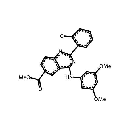 COC(=O)c1ccc2nc(-c3ccccc3Cl)nc(Nc3cc(OC)cc(OC)c3)c2c1